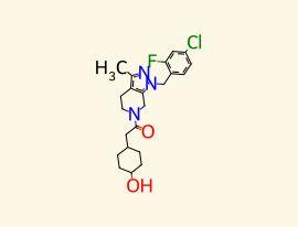 Cc1nn(Cc2ccc(Cl)cc2F)c2c1CCN(C(=O)CC1CCC(O)CC1)C2